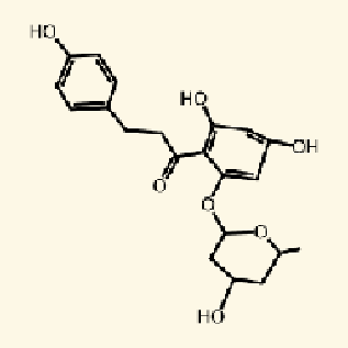 CC1CC(O)CC(Oc2cc(O)cc(O)c2C(=O)CCc2ccc(O)cc2)O1